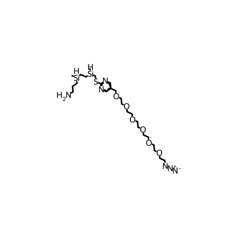 C[SiH](CCCN)CC[SiH](C)CSc1ncc(COCCOCCOCCOCCOCCOCCN=[N+]=[N-])cn1